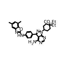 CCOC(=O)C1(CC)CCC(n2nc(-c3ccc(Nc4nc5cc(C)cc(C)c5o4)cc3)c3c(N)ncnc32)CC1